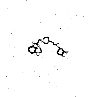 Fc1ccc(OCCC2CCN(Cc3nc4cccc5c4n3CCO5)CC2)cc1F